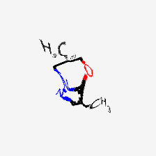 Cc1cnn2c1OC[C@@H](C)C2